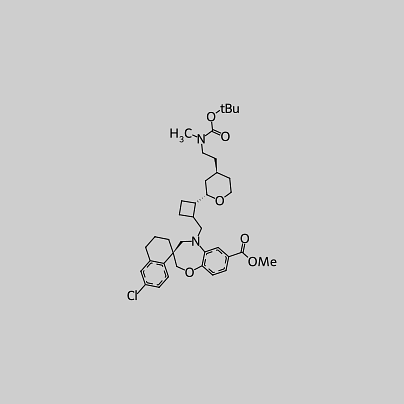 COC(=O)c1ccc2c(c1)N(CC1CCC1[C@@H]1C[C@@H](CCN(C)C(=O)OC(C)(C)C)CCO1)C[C@@]1(CCCc3cc(Cl)ccc31)CO2